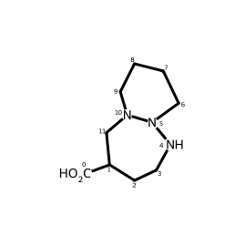 O=C(O)C1CCNN2CCCCN2C1